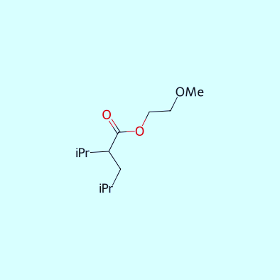 COCCOC(=O)C(CC(C)C)C(C)C